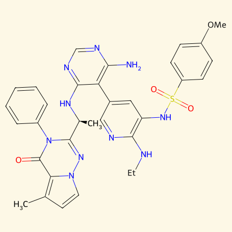 CCNc1ncc(-c2c(N)ncnc2N[C@@H](C)c2nn3ccc(C)c3c(=O)n2-c2ccccc2)cc1NS(=O)(=O)c1ccc(OC)cc1